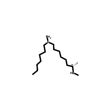 BN(CCCCCCC)CCCCCC[C@H](C)BC